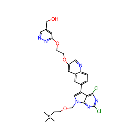 C[Si](C)(C)CCOCn1cc(-c2ccc3ncc(OCCOc4cc(CO)cnn4)cc3c2)c2c(Cl)nc(Cl)nc21